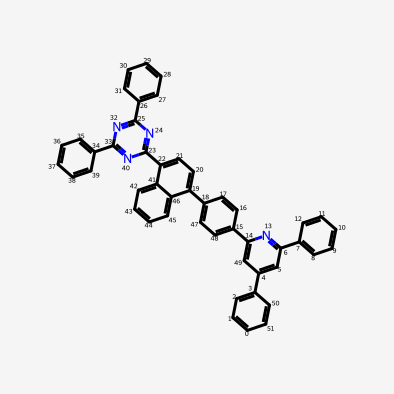 c1ccc(-c2cc(-c3ccccc3)nc(-c3ccc(-c4ccc(-c5nc(-c6ccccc6)nc(-c6ccccc6)n5)c5ccccc45)cc3)c2)cc1